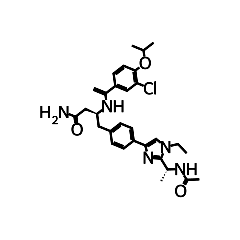 C=C(N[C@H](CC(N)=O)Cc1ccc(-c2cn(CC)c([C@@H](C)NC(C)=O)n2)cc1)c1ccc(OC(C)C)c(Cl)c1